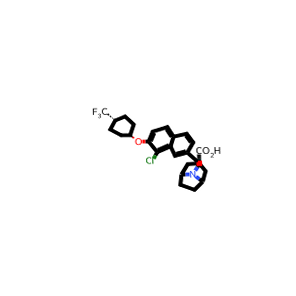 O=C(O)C1CC2CCC(C1)N2Cc1ccc2ccc(O[C@H]3CC[C@@H](C(F)(F)F)CC3)c(Cl)c2c1